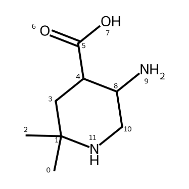 CC1(C)CC(C(=O)O)C(N)CN1